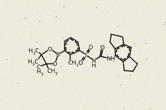 Cc1c(B2OC(C)(C)C(C)(C)O2)cccc1S(=O)(=O)NC(=O)Nc1c2c(cc3c1CCC3)CCC2